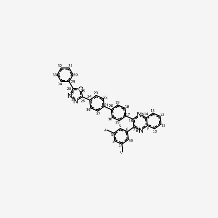 Cc1cc(C)cc(-c2nc3ccccc3nc2-c2ccc(-c3ccc(-c4nnc(-c5ccccc5)o4)cc3)cc2)c1